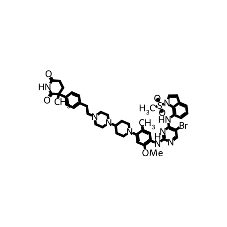 COc1cc(N2CCC(N3CCN(CCc4ccc(C5(C)CCC(=O)NC5=O)cc4)CC3)CC2)c(C)cc1Nc1ncc(Br)c(Nc2cccc3ccn(S(C)(=O)=O)c23)n1